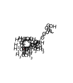 CC[C@H]1OC(=O)[C@H](C)[C@@H](OC2C[C@@](C)(OC)[C@@H](OC(=O)NCCCOCCOc3ccc4c(c3)c(=O)c(C(=O)O)cn4C3CC3)[C@H](C)O2)[C@H](C)[C@@H](OC2O[C@H](C)C[C@H](N(C)C)[C@H]2O)[C@](C)(OC)C[C@@H](C)C(=O)[C@H](C)[C@@H](O)[C@]1(C)O